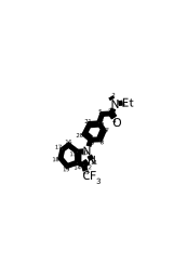 CCN(C)C(=O)Cc1ccc(-n2nc(C(F)(F)F)c3c2CCCC3)cc1